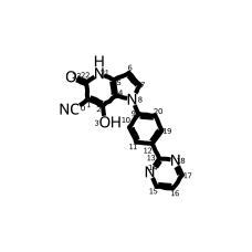 N#Cc1c(O)c2c(ccn2-c2ccc(-c3ncccn3)cc2)[nH]c1=O